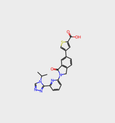 CC(C)n1cnnc1-c1cccc(N2Cc3ccc(-c4csc(C(=O)O)c4)cc3C2=O)n1